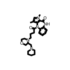 Cc1cn(C)c2c1N(C(=O)CCCN1CCOCC1CN1CCCCC1)c1ccccc1NC2=O